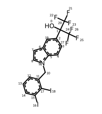 OC(c1ccc2c(ccn2Cc2cccc(I)c2I)c1)(C(F)(F)F)C(F)(F)F